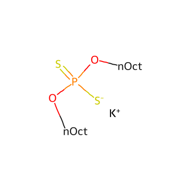 CCCCCCCCOP(=S)([S-])OCCCCCCCC.[K+]